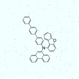 c1ccc(-c2ccc(-c3ccc(N(c4cc5ccccc5c5ccccc45)c4cccc5oc6ccccc6c45)cc3)cc2)cc1